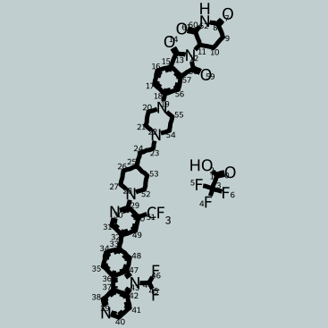 O=C(O)C(F)(F)F.O=C1CCC(N2C(=O)c3ccc(N4CCN(CCC5CCN(c6ncc(-c7ccc8c9cnccc9n(C(F)F)c8c7)cc6C(F)(F)F)CC5)CC4)cc3C2=O)C(=O)N1